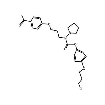 CC(=O)c1ccc(OCCCN(C(=O)Oc2ccc(OCCCCl)cc2)N2CCCC2)cc1